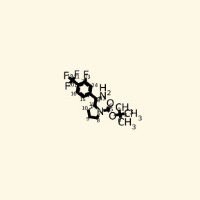 CC(C)(C)OC(=O)N1CCC[C@@H]1[C@@H](N)c1ccc(C(F)(F)F)c(F)c1